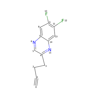 C#CCCc1cnc2cc(F)c(F)cc2n1